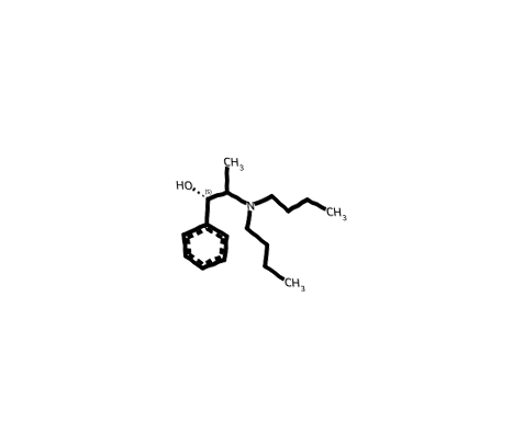 CCCCN(CCCC)C(C)[C@@H](O)c1ccccc1